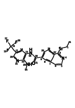 CCSc1nccc2cc(C(=O)Nc3cc(C(F)(F)F)cnc3NC)ccc12